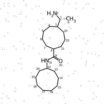 C[C@@H](N)C1CCCCC(C(=O)NC2CCCCCCCC2)CCC1